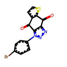 O=C1c2nnn(-c3ccc(Br)cc3)c2C(=O)c2ccsc21